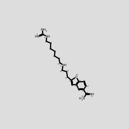 N=C(N)NCCCCCCCNCCCc1cc2cc(C(=N)N)ccc2o1